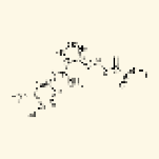 Cc1cc(NC(N)c2nonc2NCCN[S+](C)[O-])ccc1F